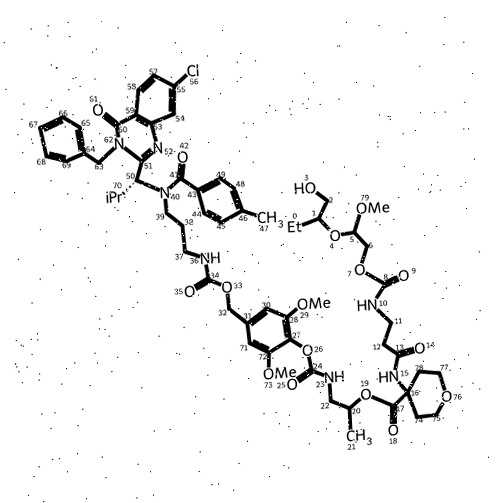 CCC(CO)OC(COC(=O)NCCC(=O)NC1(C(=O)OC(C)CNC(=O)Oc2c(OC)cc(COC(=O)NCCCN(C(=O)c3ccc(C)cc3)[C@@H](c3nc4cc(Cl)ccc4c(=O)n3Cc3ccccc3)C(C)C)cc2OC)CCOCC1)OC